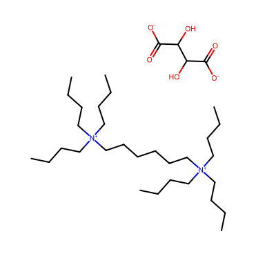 CCCC[N+](CCCC)(CCCC)CCCCCC[N+](CCCC)(CCCC)CCCC.O=C([O-])C(O)C(O)C(=O)[O-]